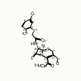 O=C(CSc1cc(Cl)ccc1Cl)N[C@@H]1C(=O)N2C(C(=O)O)=C(CCl)CS[C@H]12